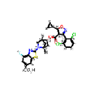 O=C(O)c1cc(F)c2nc(N3C[C@H]4C[C@@H]3C[C@H]4OC(=O)c3c(-c4c(Cl)cccc4Cl)noc3C3CC3)sc2c1